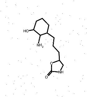 NC1C(O)CCCC1CCCC1CNC(=O)O1